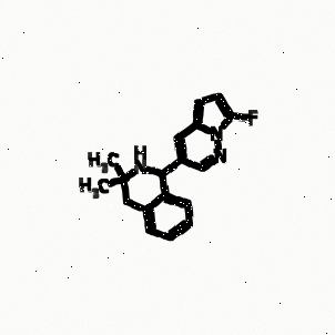 CC1(C)Cc2ccccc2C(c2cnn3c(F)ccc3c2)N1